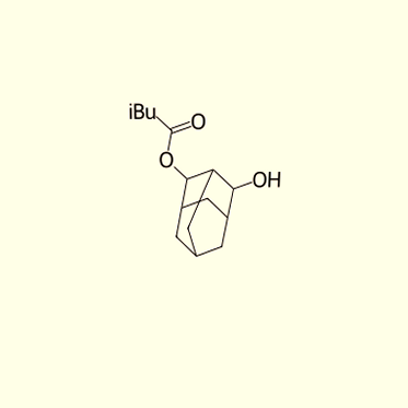 CCC(C)C(=O)OC1C2CC3CC(C2)C(O)C1C3